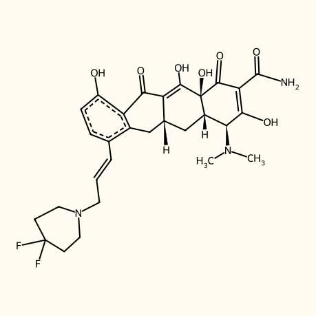 CN(C)[C@@H]1C(O)=C(C(N)=O)C(=O)[C@@]2(O)C(O)=C3C(=O)c4c(O)ccc(/C=C/CN5CCC(F)(F)CC5)c4C[C@H]3C[C@@H]12